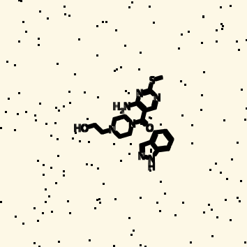 CSc1ncc(C(=O)N2CCN(CCO)CC2)c(N)n1.c1ccc2[nH]ncc2c1